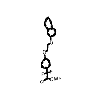 COC(=O)C(F)(F)c1ccc(OCCOc2ccc3ccccc3c2)cc1